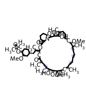 CO[C@H]1C[C@@H]2CC[C@@H](C)C(O)(O2)C(=O)C(=O)N2CCCC[C@H]2C(=O)O[C@H]([C@H](C)C[C@@H]2CC[C@@H](OP(C)(C)=O)[C@H](OC)C2)CC(=O)[C@H](C)/C=C(\C)[C@@H](O)[C@@H](OC)C(=O)[C@H](C)C[C@H](C)/C=C/C=C/C=C/1C